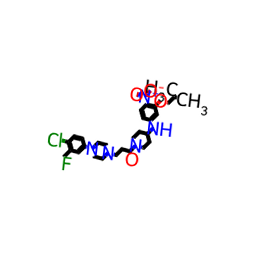 CC(C)COc1cc(NC2CCN(C(=O)CCN3CCN(c4ccc(Cl)c(CF)c4)CC3)CC2)ccc1[N+](=O)[O-]